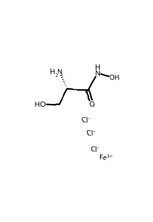 N[C@@H](CO)C(=O)NO.[Cl-].[Cl-].[Cl-].[Fe+3]